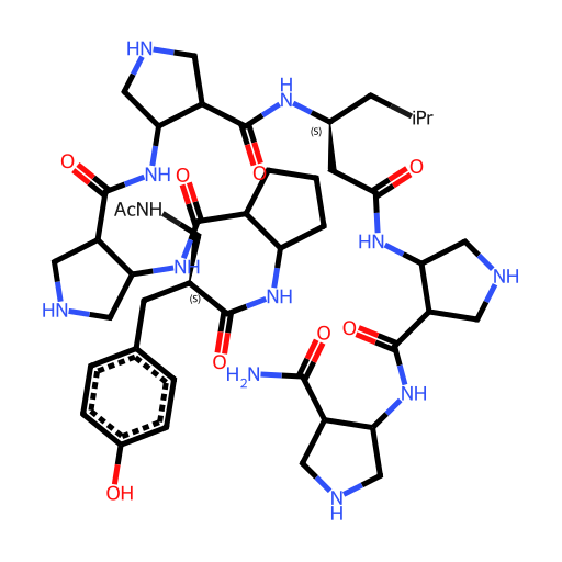 CC(=O)NC[C@H](Cc1ccc(O)cc1)C(=O)NC1CCCC1C(=O)NC1CNCC1C(=O)NC1CNCC1C(=O)N[C@H](CC(=O)NC1CNCC1C(=O)NC1CNCC1C(N)=O)CC(C)C